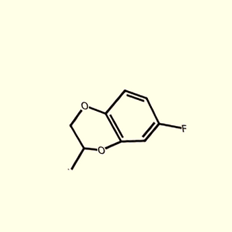 [CH2]C1COc2ccc(F)cc2O1